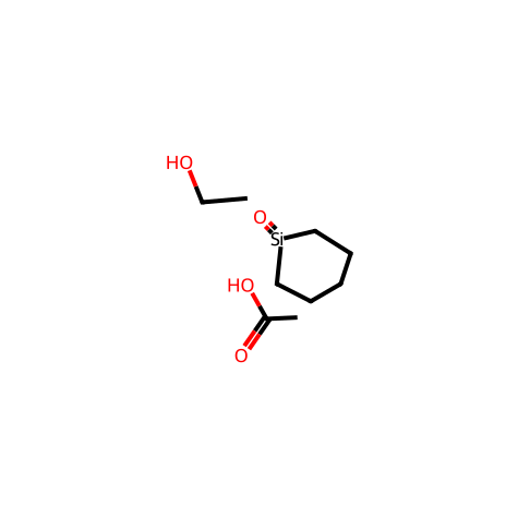 CC(=O)O.CCO.O=[Si]1CCCCC1